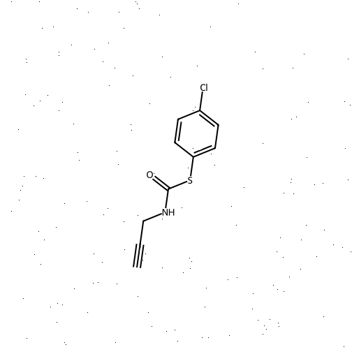 C#CCNC(=O)Sc1ccc(Cl)cc1